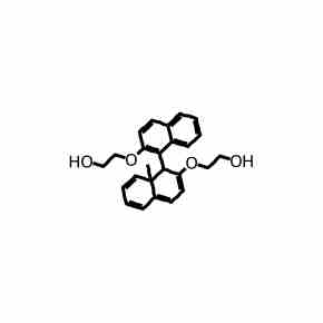 CC12C=CC=CC1=CC=C(OCCO)C2c1c(OCCO)ccc2ccccc12